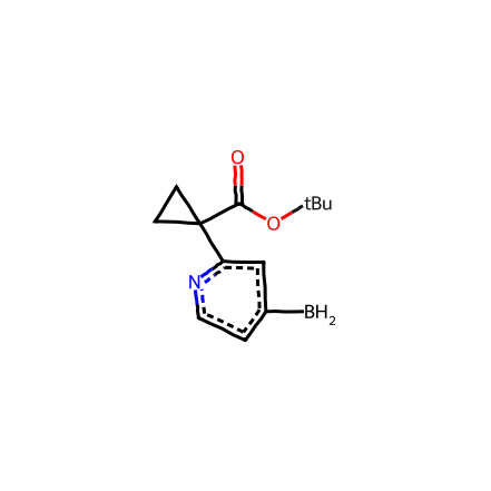 Bc1ccnc(C2(C(=O)OC(C)(C)C)CC2)c1